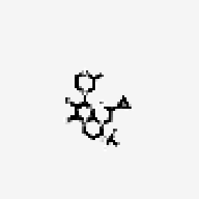 CC1CN(c2nc3n(c(=O)c2F)CC[C@@H](C(C)(F)F)N3CC(=O)C2CC2)CCO1